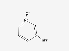 CCCc1ccc[n+]([O-])c1